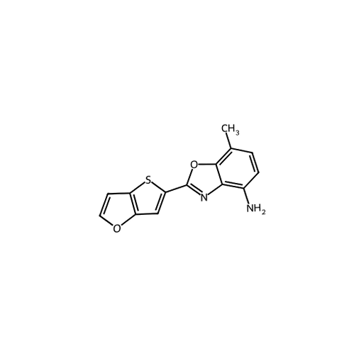 Cc1ccc(N)c2nc(-c3cc4occc4s3)oc12